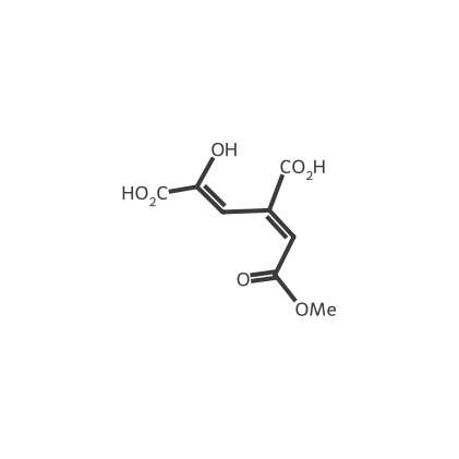 COC(=O)C=C(C=C(O)C(=O)O)C(=O)O